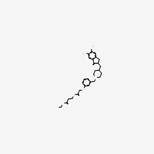 CCOC(=O)CCNC(=O)COc1cccc(CN2CCC(CC3Cc4cc(OC)c(OC)cc4C3=O)CC2)c1